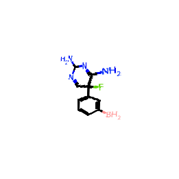 Bc1cccc(C2(F)C=NC(N)N=C2N)c1